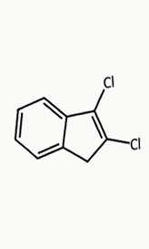 ClC1=C(Cl)c2ccccc2C1